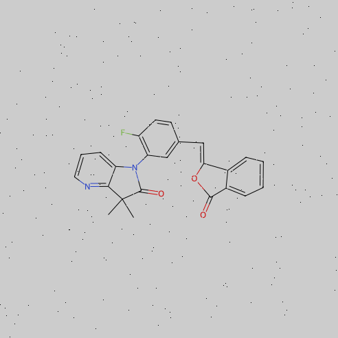 CC1(C)C(=O)N(c2cc(C=C3OC(=O)c4ccccc43)ccc2F)c2cccnc21